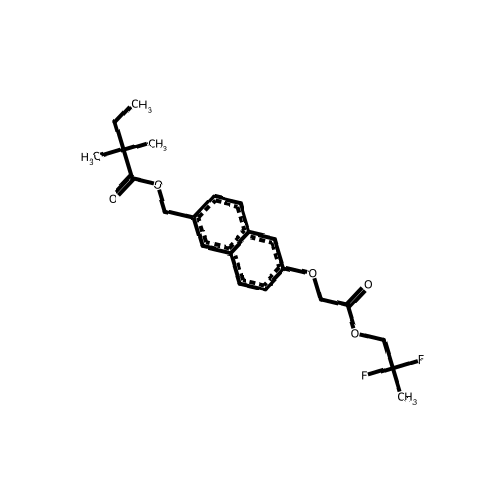 CCC(C)(C)C(=O)OCc1ccc2cc(OCC(=O)OCC(C)(F)F)ccc2c1